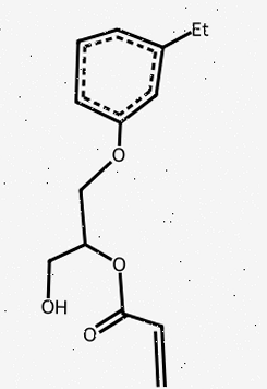 C=CC(=O)OC(CO)COc1cccc(CC)c1